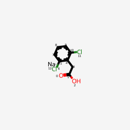 O=C(O)Cc1c(Cl)cccc1Cl.[Na]